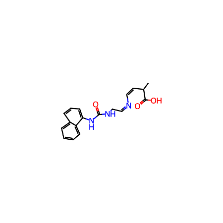 CC(/C=C\N=C/CNC(=O)Nc1cccc2ccccc12)C(=O)O